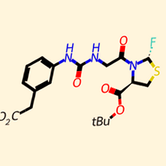 CC(C)(C)OC(=O)[C@@H]1CS[C@@H](F)N1C(=O)CNC(=O)Nc1cccc(CC(=O)O)c1